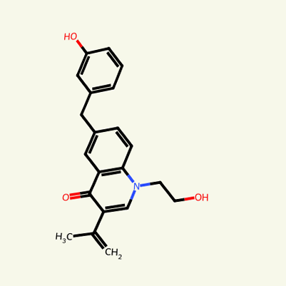 C=C(C)c1cn(CCO)c2ccc(Cc3cccc(O)c3)cc2c1=O